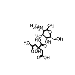 N[C@H]1C(O)O[C@H](CO)[C@@H](O)[C@@H]1O.O=C(O)CC(O)(CC(=O)O)C(=O)O.[CaH2]